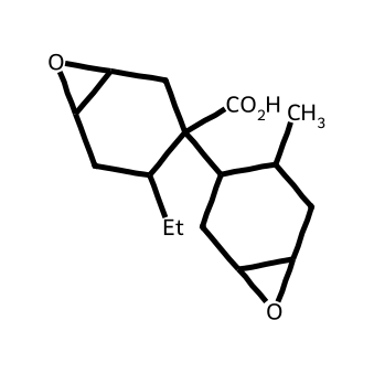 CCC1CC2OC2CC1(C(=O)O)C1CC2OC2CC1C